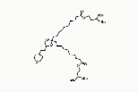 CCCCC(CCCC)CCOC(=O)CCCCCCCCCC1(CCCCCCCCCC(=O)OCCC(CCCC)CCCC)OCC(CCN2CCOCC2)O1